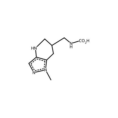 Cn1ncc2c1CC(CNC(=O)O)CN2